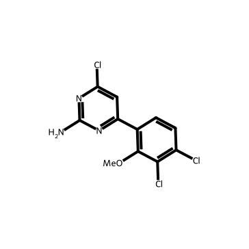 COc1c(-c2cc(Cl)nc(N)n2)ccc(Cl)c1Cl